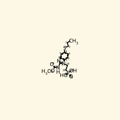 CCCSc1ccc2c(c1)nc(NC(=O)OC)n2CCP(=O)(O)O